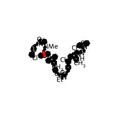 CCc1nn(CCCN2CCN(c3cccc(Cl)c3)CC2)c(=O)n1CCOc1ccccc1.CN1CCN2c3ccccc3Cc3ccccc3C2C1.CN1CCN2c3ncccc3Cc3ccccc3C2C1.CNCCCC12CCC(c3ccccc31)c1ccccc12.Clc1ccc2c(c1)C(N1CCNCC1)=Nc1ccccc1O2.O=c1n(CCCN2CCN(c3cccc(Cl)c3)CC2)nc2ccccn12